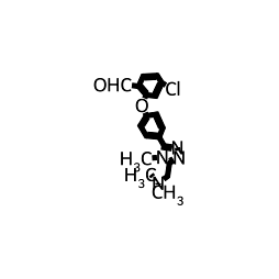 CN(C)Cc1nnc(-c2ccc(Oc3cc(Cl)ccc3C=O)cc2)n1C